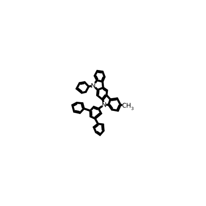 Cc1ccc2c(c1)c1cc3c4ccccc4n(C4C=CC=CC4)c3cc1n2-c1cc(-c2ccccc2)cc(-c2ccccc2)c1